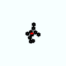 c1ccc(-c2ccc(N(c3ccc(-c4ccccc4)cc3)c3ccc(-c4ccccc4-n4c5ccccc5c5cc(-c6cccc7ccccc67)ccc54)cc3)cc2)cc1